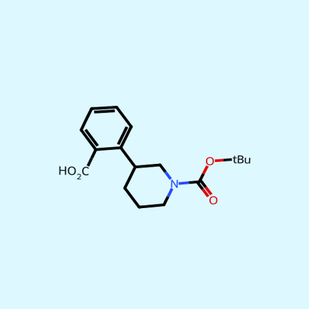 CC(C)(C)OC(=O)N1CCCC(c2ccccc2C(=O)O)C1